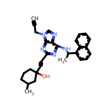 C#CCn1cnc2c(NC(C)c3cccc4ccccc34)nc(C#CC3(O)CCCC(C)C3)nc21